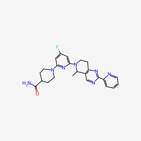 CC1c2cnc(-c3ccccn3)nc2CCN1c1cc(F)cc(N2CCC(C(N)=O)CC2)n1